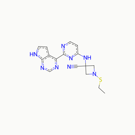 CCSN1CC(C#N)(Nc2ccnc(-c3ncnc4[nH]ccc34)n2)C1